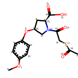 COc1ccc(O[C@H]2C[C@@H](C(=O)O)N(C(=O)CSC(C)=O)C2)cc1